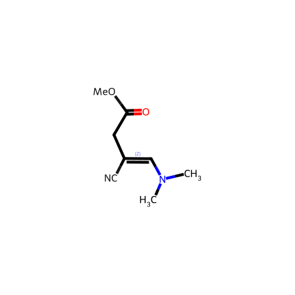 COC(=O)C/C(C#N)=C/N(C)C